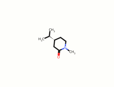 CC(C)[C@@H]1CCN(C)C(=O)C1